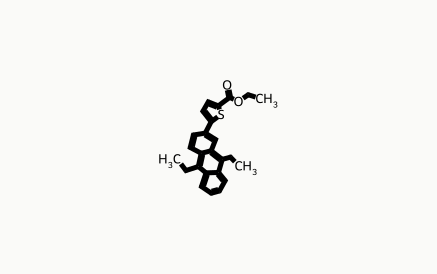 CCOC(=O)c1ccc(-c2ccc3c(CC)c4ccccc4c(CC)c3c2)s1